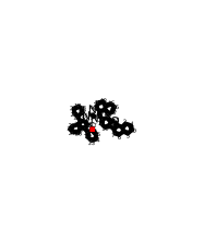 c1ccc2c(c1)ccc1c3ccc(-c4nc(-n5c6ccccc6c6c7ccccc7c7c8ccccc8sc7c65)nc5ccc6ccccc6c45)cc3oc21